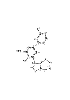 O=c1[nH]c(-c2ccnc(F)c2)nc(N2CCC3CNCCC32)c1Cl